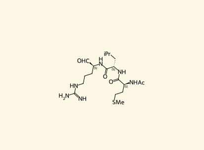 CSCC[C@H](NC(C)=O)C(=O)N[C@@H](CC(C)C)C(=O)N[C@H](C=O)CCCNC(=N)N